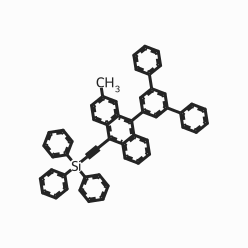 Cc1ccc2c(C#C[Si](c3ccccc3)(c3ccccc3)c3ccccc3)c3ccccc3c(-c3cc(-c4ccccc4)cc(-c4ccccc4)c3)c2c1